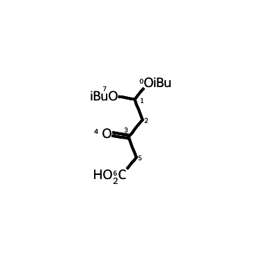 CC(C)COC(CC(=O)CC(=O)O)OCC(C)C